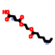 C/C=C\CCCC(=O)OCCOC(=O)/C=C/C(=O)O